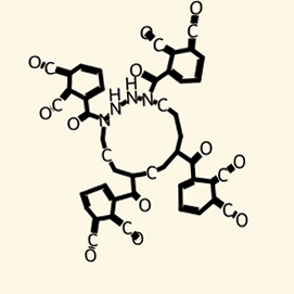 O=C=c1cccc(C(=O)C2CCCN(C(=O)c3cccc(=C=O)c3=C=O)NNN(C(=O)c3cccc(=C=O)c3=C=O)CCCC(C(=O)c3cccc(=C=O)c3=C=O)CC2)c1=C=O